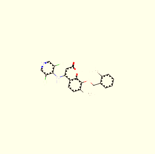 COc1ccc2c(Nc3c(Cl)cncc3Cl)cc(=O)oc2c1OCc1ccccc1[N+](=O)[O-]